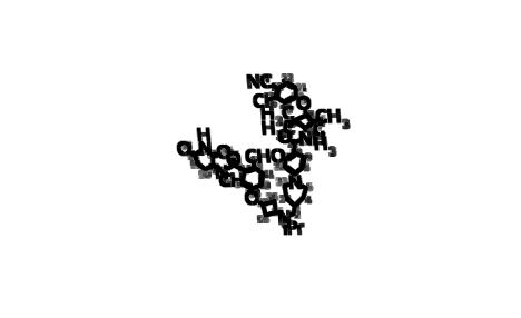 CC(C)N(CC1CCN(c2ccc(C(=O)N[C@H]3C(C)(C)[C@H](Oc4ccc(C#N)c(Cl)c4)C3(C)C)cc2)CC1)[C@H]1C[C@H](Oc2ccc(C=O)c(C(=O)N(C)C3CCC(=O)NC3=O)c2)C1